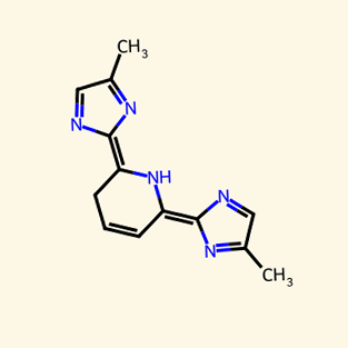 CC1=N/C(=C2/CC=C/C(=C3/N=CC(C)=N3)N2)N=C1